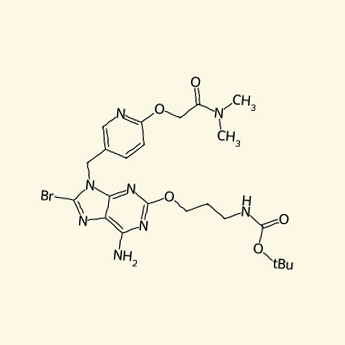 CN(C)C(=O)COc1ccc(Cn2c(Br)nc3c(N)nc(OCCCNC(=O)OC(C)(C)C)nc32)cn1